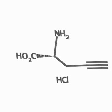 C#CC[C@@H](N)C(=O)O.Cl